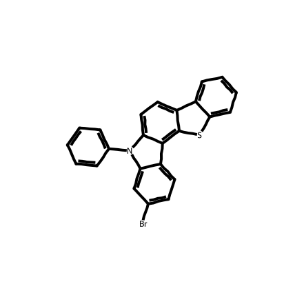 Brc1ccc2c3c4sc5ccccc5c4ccc3n(-c3ccccc3)c2c1